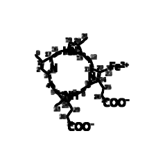 CC1=Cc2cc3[nH]c(cc4nc(cc5[nH]c(cc1n2)cc5C)C(C)=C4CCC(=O)[O-])c(CCC(=O)[O-])c3C.[Fe+2]